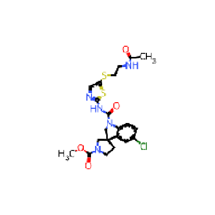 COC(=O)N1CCC2(C1)CN(C(=O)Nc1ncc(SCCNC(C)=O)s1)c1ccc(Cl)cc12